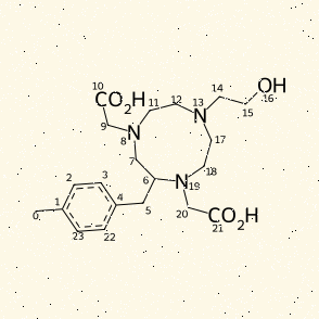 Cc1ccc(CC2CN(CC(=O)O)CCN(CCO)CCN2CC(=O)O)cc1